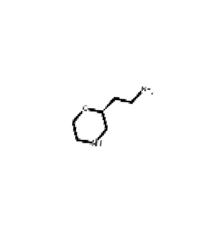 NCC[C@H]1CNCCO1